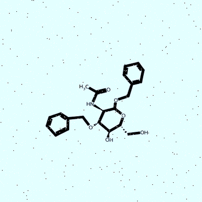 CC(=O)N[C@H]1C(OCc2ccccc2)O[C@H](CO)[C@@H](O)[C@@H]1OCc1ccccc1